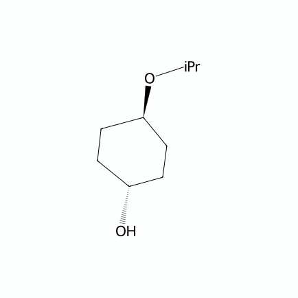 CC(C)O[C@H]1CC[C@H](O)CC1